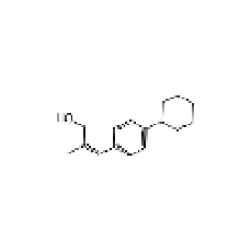 CC(=Cc1ccc(C2CCCCC2)cc1)CO